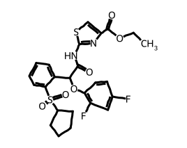 CCOC(=O)c1csc(NC(=O)C(Oc2ccc(F)cc2F)c2ccccc2S(=O)(=O)C2CCCC2)n1